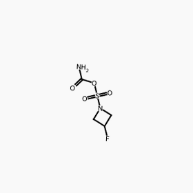 NC(=O)OS(=O)(=O)N1CC(F)C1